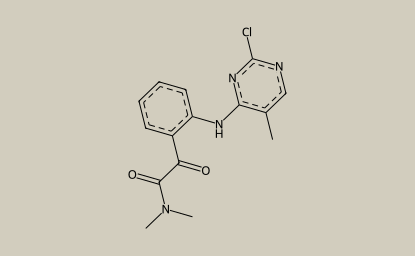 Cc1cnc(Cl)nc1Nc1ccccc1C(=O)C(=O)N(C)C